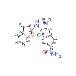 CC(CC(=O)NCC(Cc1ccc(C(N)=O)cc1Cl)N(C)C)c1ccccc1